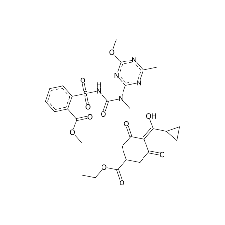 CCOC(=O)C1CC(=O)C(=C(O)C2CC2)C(=O)C1.COC(=O)c1ccccc1S(=O)(=O)NC(=O)N(C)c1nc(C)nc(OC)n1